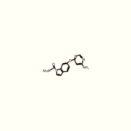 CNC(=O)n1ccc2ccc(Oc3cc(N)ncn3)cc21